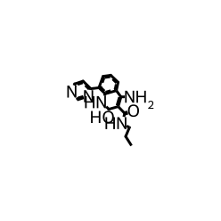 CCCNC(=O)C1=C(N)c2cccc(-c3ccncn3)c2NC1O